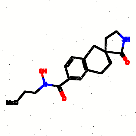 COCCN(O)C(=O)c1ccc2c(c1)CC[C@]1(CCNC1=O)C2